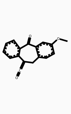 COc1ccc2c(c1)C(=O)c1ccccc1C(=C=O)C2